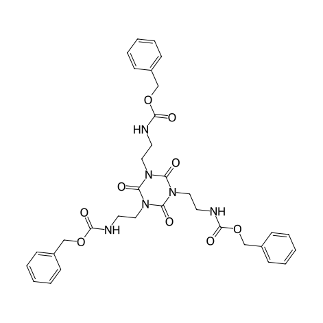 O=C(NCCn1c(=O)n(CCNC(=O)OCc2ccccc2)c(=O)n(CCNC(=O)OCc2ccccc2)c1=O)OCc1ccccc1